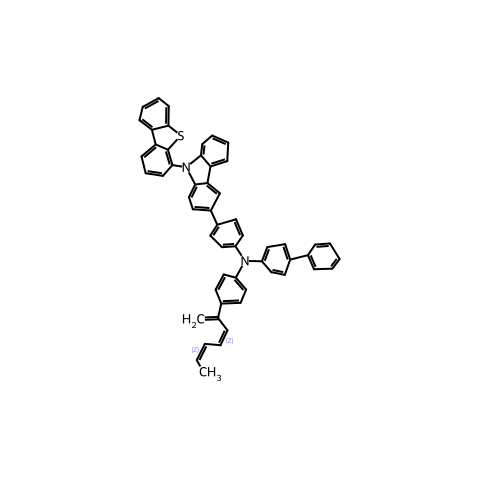 C=C(/C=C\C=C/C)c1ccc(N(c2ccc(-c3ccccc3)cc2)c2ccc(-c3ccc4c(c3)c3ccccc3n4-c3cccc4c3sc3ccccc34)cc2)cc1